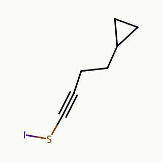 ISC#CCCC1CC1